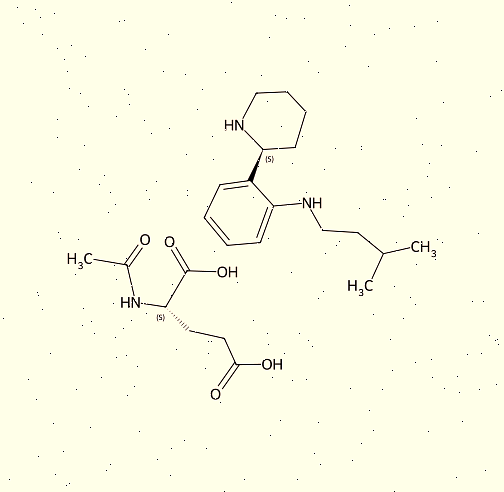 CC(=O)N[C@@H](CCC(=O)O)C(=O)O.CC(C)CCNc1ccccc1[C@@H]1CCCCN1